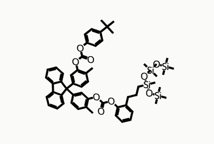 Cc1ccc(C2(c3ccc(C)c(OC(=O)Oc4ccccc4CCC[Si](C)(O[Si](C)(C)C)O[Si](C)(C)O[Si](C)(C)C)c3)c3ccccc3-c3ccccc32)cc1OC(=O)Oc1ccc(C(C)(C)C)cc1